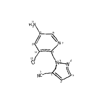 N#Cc1ccnn1-c1ncc(N)cc1Cl